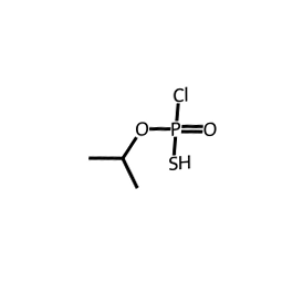 CC(C)OP(=O)(S)Cl